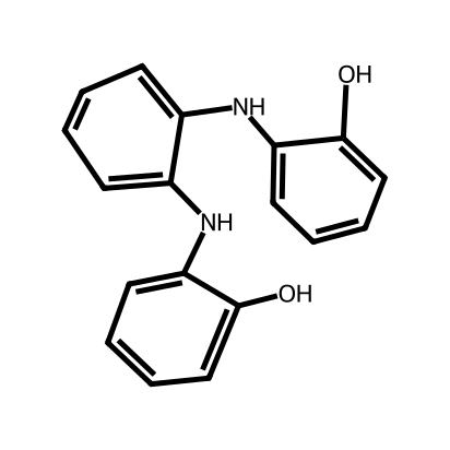 Oc1ccccc1Nc1ccccc1Nc1ccccc1O